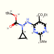 CCOC(=O)c1cnc(SC)nc1NN(C(=O)OC(C)(C)C)C1CC1